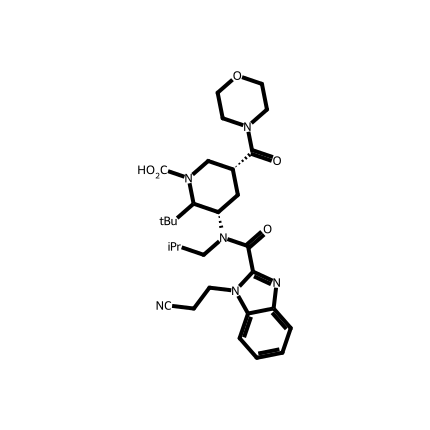 CC(C)CN(C(=O)c1nc2ccccc2n1CCC#N)[C@H]1C[C@@H](C(=O)N2CCOCC2)CN(C(=O)O)C1C(C)(C)C